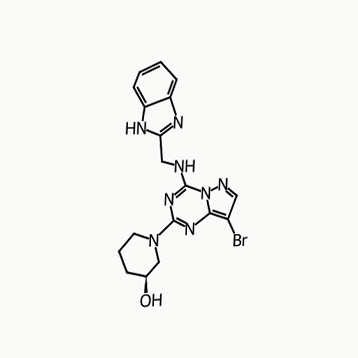 O[C@H]1CCCN(c2nc(NCc3nc4ccccc4[nH]3)n3ncc(Br)c3n2)C1